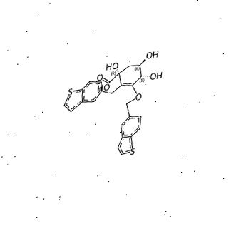 O=C(O)[C@@]1(O)C[C@@H](O)[C@H](O)C(OCc2ccc3sccc3c2)=C1Cc1ccc2sccc2c1